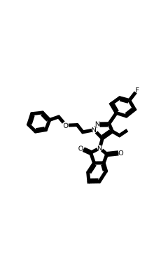 CCc1c(-c2ccc(F)cc2)nn(CCOCc2ccccc2)c1N1C(=O)c2ccccc2C1=O